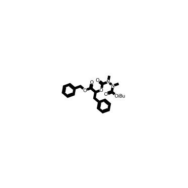 CC(C)COC(=O)N(C)N(C)C(=O)OC(Cc1ccccc1)C(=O)OCc1ccccc1